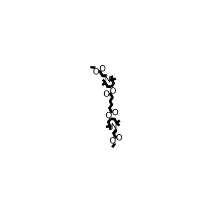 CCOC(=O)/C=C/N1C(C)(C)CC(OC(=O)CCCCC(=O)OC2CC(C)(C)N(/C=C/C(=O)OCC)C(C)(C)C2)CC1(C)C